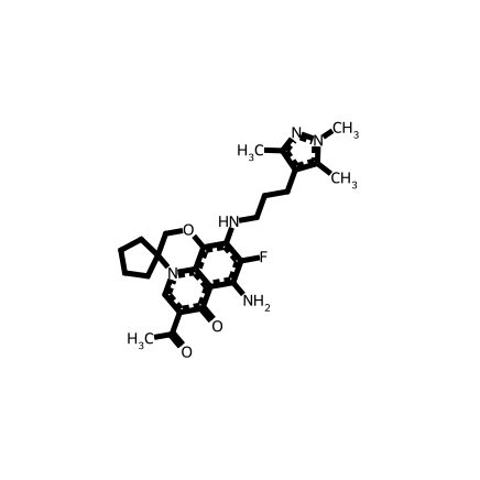 CC(=O)c1cn2c3c(c(NCCCc4c(C)nn(C)c4C)c(F)c(N)c3c1=O)OCC21CCCC1